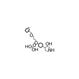 O=C(O)O.OC1CNCCC1c1ccc(OCCCOCc2cccs2)cc1